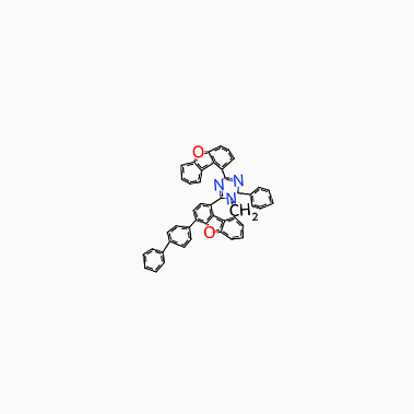 C=N/C(=N\C(=N/Cc1ccccc1)c1cccc2oc3ccccc3c12)c1ccc(-c2ccc(-c3ccccc3)cc2)c2oc3ccccc3c12